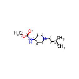 COC(=O)NC1CCN(CCC(C)C)CC1